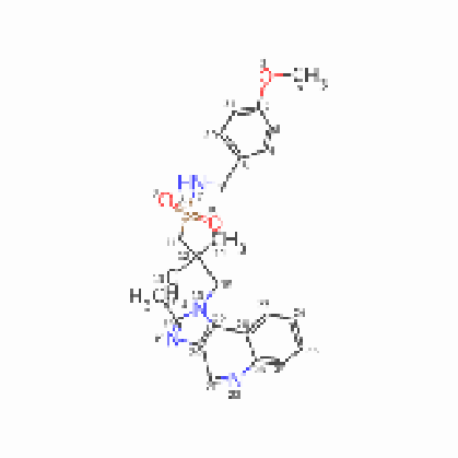 COc1ccc(CNS(=O)(=O)CC(C)(C)Cn2c(C)nc3cnc4ccccc4c32)cc1